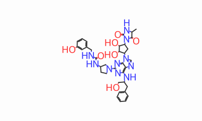 CC1NC(=O)N(C2CC(n3cnc4c(NC(CO)Cc5ccccc5)nc(N5CCC(NC(=O)NCc6cccc(O)c6)C5)nc43)C(O)C2O)C1=O